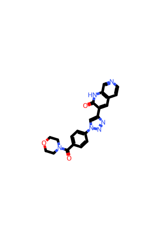 O=C(c1ccc(-n2cc(-c3cc4ccncc4[nH]c3=O)nn2)cc1)N1CCOCC1